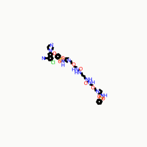 CN1CCCN([C@H]2Cc3c(C#N)cc(Cl)cc3[C@@H]2Oc2ccc(S(=O)(=O)N[C@@H]3CCN(CCOCCNC(=O)NCCCCNC(=O)NCCOCCN4CC[C@@H](NS(=O)(=O)c5ccccc5)C4)C3)cc2)CC1